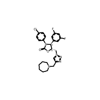 O=C1O[C@@H](Cn2cc(CN3CCCCCC3)nn2)[C@H](c2cc(F)cc(F)c2)N1c1ccc(Cl)cc1